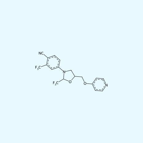 N#Cc1ccc(N2CC(COc3ccncc3)OC2C(F)(F)F)cc1C(F)(F)F